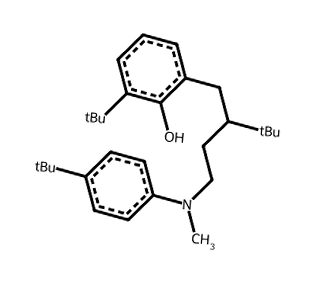 CN(CCC(Cc1cccc(C(C)(C)C)c1O)C(C)(C)C)c1ccc(C(C)(C)C)cc1